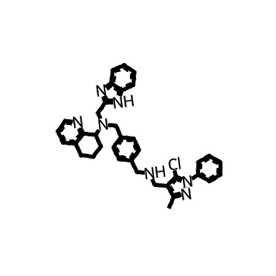 Cc1nn(-c2ccccc2)c(Cl)c1CNCc1ccc(CN(Cc2nc3ccccc3[nH]2)C2CCCc3cccnc32)cc1